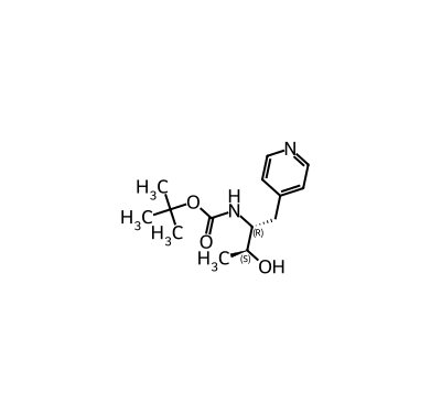 C[C@H](O)[C@@H](Cc1ccncc1)NC(=O)OC(C)(C)C